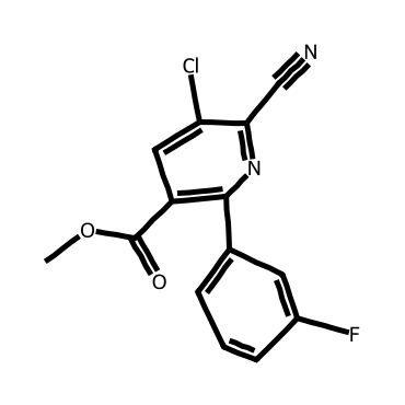 COC(=O)c1cc(Cl)c(C#N)nc1-c1cccc(F)c1